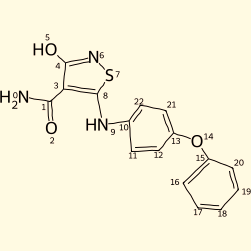 NC(=O)c1c(O)nsc1Nc1ccc(Oc2ccccc2)cc1